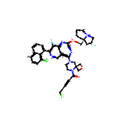 O=C(C#CCCl)N1CCN(c2nc(OC[C@@]34CCCN3C[C@H](F)C4)nc3c(F)c(-c4cccc5cccc(Cl)c45)ncc23)CC12COC2